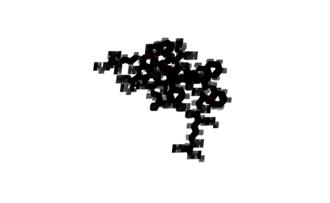 C[C@@H](O)[C@H](NC(=O)[C@H](CCCNC(=N)N)NC(=O)[C@@H]1CCCN1C(=O)[C@@H](NC(=O)[C@H](Cc1ccc(O)cc1)NC(=O)[C@H](Cc1ccccc1)NC(=O)[C@H](Cc1ccccc1)NC(=O)CNC(=O)[C@@H](N)CCCNC(=N)N)[C@@H](C)O)C(=O)N[C@@H](CCC(=O)O)C(=O)N[C@@H](CCC(=O)O)C(=O)NCC(=O)N1CCC[C@H]1C(=O)O